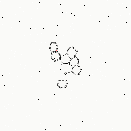 c1ccc(Oc2cccc3cc4cccc(Oc5ccccc5)c4c(Oc4ccccc4)c23)cc1